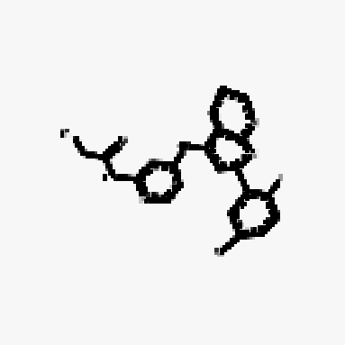 CC(C)(C)CC(=O)Nc1cc(Nc2cc(-c3cc(Cl)ccc3F)nc3ncccc23)ccn1